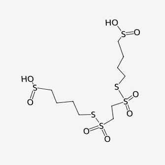 O=S(O)CCCCSS(=O)(=O)CCS(=O)(=O)SCCCCS(=O)O